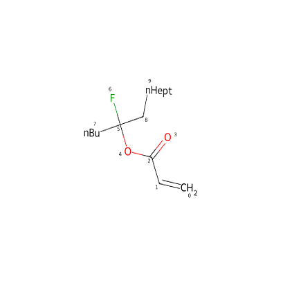 C=CC(=O)OC(F)(CCCC)CCCCCCCC